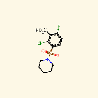 O=C(O)c1c(F)ccc(S(=O)(=O)N2CCCCC2)c1Cl